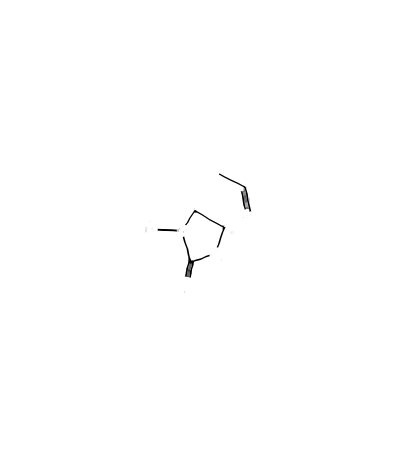 C/C=C\[C@H]1CN(C(C)C)C(=O)O1